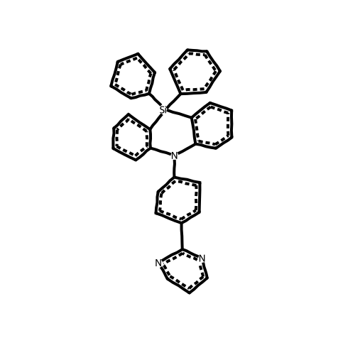 c1ccc([Si]2(c3ccccc3)c3ccccc3N(c3ccc(-c4ncccn4)cc3)c3ccccc32)cc1